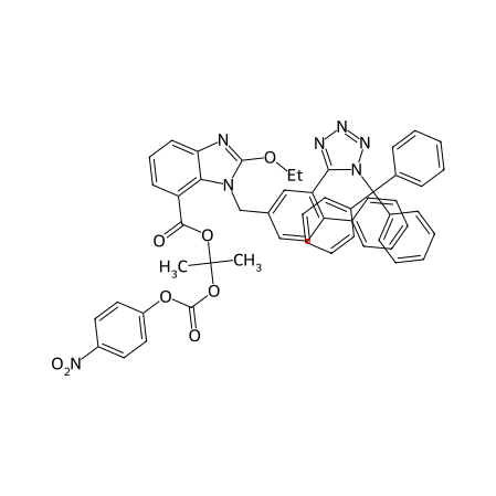 CCOc1nc2cccc(C(=O)OC(C)(C)OC(=O)Oc3ccc([N+](=O)[O-])cc3)c2n1Cc1ccc(-c2ccccc2)c(-c2nnnn2C(c2ccccc2)(c2ccccc2)c2ccccc2)c1